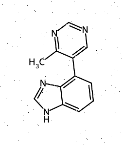 Cc1ncncc1-c1cccc2[nH]cnc12